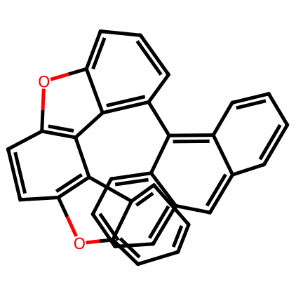 c1ccc2c(-c3cccc4oc5ccc6oc7ccccc7c6c5c34)c3ccccc3cc2c1